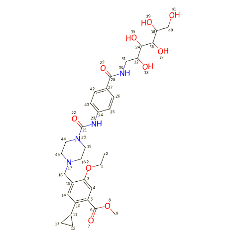 CCOc1cc(C(=O)OC)c(C2CC2)cc1CN1CCN(C(=O)Nc2ccc(C(=O)NCC(O)C(O)C(O)C(O)CO)cc2)CC1